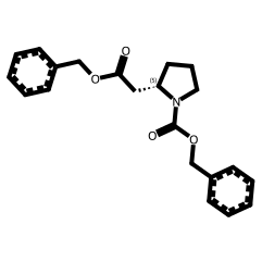 O=C(C[C@@H]1CCCN1C(=O)OCc1ccccc1)OCc1ccccc1